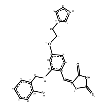 O=C1NC(=S)SC1=Cc1ccc(OCCn2ccnc2)cc1OCc1ccccc1Br